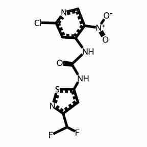 O=C(Nc1cc(C(F)F)ns1)Nc1cc(Cl)ncc1[N+](=O)[O-]